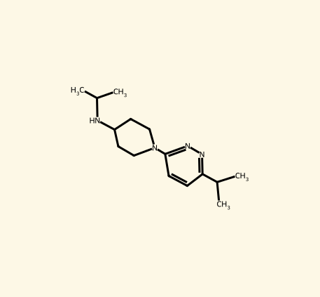 CC(C)NC1CCN(c2ccc(C(C)C)nn2)CC1